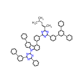 C/C(=C\CC(C)C)c1nc(-c2cccc(-c3cc(-c4ccccc4)cc(-c4ccccc4)c3)c2)nc(-c2cccc(-c3cccc4c3c3cc(-c5ccccc5)ccc3n4-c3nc(-c4ccccc4)nc(-c4cccc(-c5ccccc5)c4)n3)c2)n1